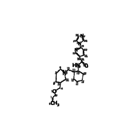 C=CCOCC1CCCN(CC2CCCCC2NC(=O)c2ccc(-n3ccnc3)nc2)C1